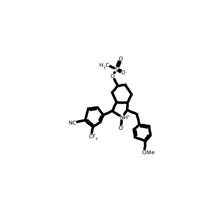 COc1ccc(CC2C3CCC(OS(C)(=O)=O)CC3C(c3ccc(C#N)c(C(F)(F)F)c3)[NH+]2[O-])cc1